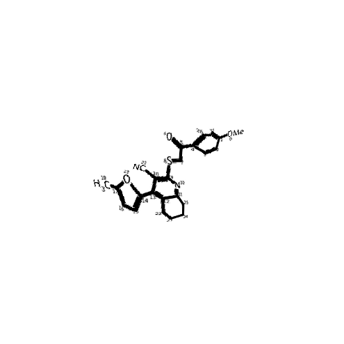 COc1ccc(C(=O)CSc2nc3c(c(-c4ccc(C)o4)c2C#N)CCCC3)cc1